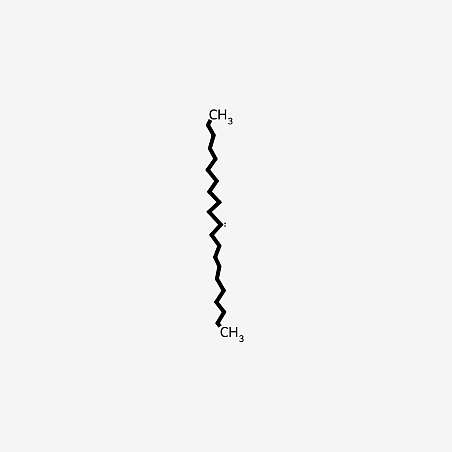 CCCCCCCCCC[C]CCCCCCCCCC